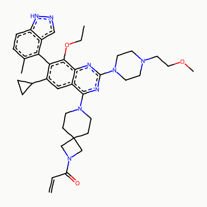 C=CC(=O)N1CC2(CCN(c3nc(N4CCN(CCOC)CC4)nc4c(OCC)c(-c5c(C)ccc6[nH]ncc56)c(C5CC5)cc34)CC2)C1